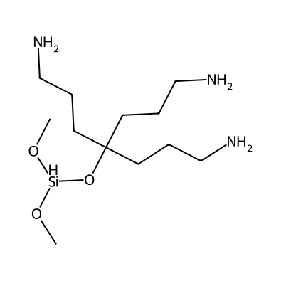 CO[SiH](OC)OC(CCCN)(CCCN)CCCN